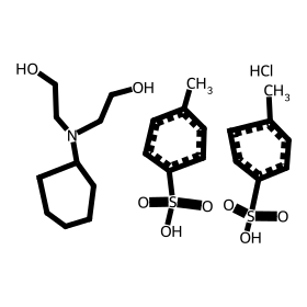 Cc1ccc(S(=O)(=O)O)cc1.Cc1ccc(S(=O)(=O)O)cc1.Cl.OCCN(CCO)C1CCCCC1